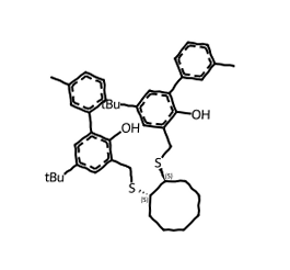 Cc1cccc(-c2cc(C(C)(C)C)cc(CS[C@H]3CCCCCC[C@@H]3SCc3cc(C(C)(C)C)cc(-c4cccc(C)c4)c3O)c2O)c1